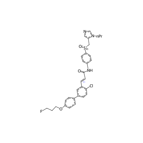 CCCn1cncc1C[S@+]([O-])c1ccc(NC(=O)/C=C/c2cc(-c3ccc(OCCCF)cc3)ccc2Cl)cc1